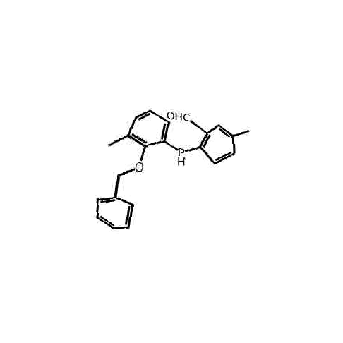 Cc1ccc(Pc2cccc(C)c2OCc2ccccc2)c(C=O)c1